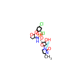 Cc1ccn([C@@H]2O[C@H](COP(=O)(N[C@H]3CCOC3=O)Oc3ccc(Cl)cc3Cl)[C@@H](O)C2(F)F)c(=O)n1